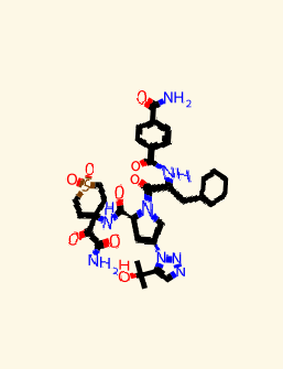 CC(C)(O)c1cnnn1[C@H]1C[C@@H](C(=O)NC2(C(=O)C(N)=O)CCS(=O)(=O)CC2)N(C(=O)C(CC2CCCCC2)NC(=O)c2ccc(C(N)=O)cc2)C1